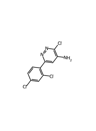 Nc1cc(-c2ccc(Cl)cc2Cl)nnc1Cl